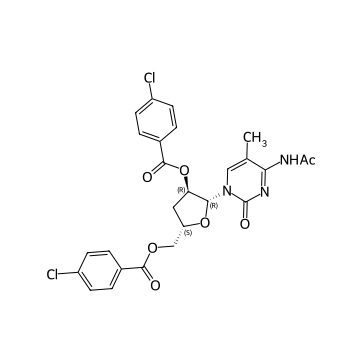 CC(=O)Nc1nc(=O)n([C@@H]2O[C@H](COC(=O)c3ccc(Cl)cc3)C[C@H]2OC(=O)c2ccc(Cl)cc2)cc1C